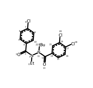 CCN(C(=O)c1ccc(Cl)cc1)N(C(=O)c1ccc(Cl)c(Cl)c1)C(C)(C)C